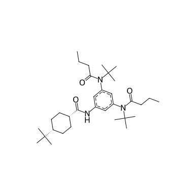 CCCC(=O)N(c1cc(NC(=O)[C@H]2CC[C@@H](C(C)(C)C)CC2)cc(N(C(=O)CCC)C(C)(C)C)c1)C(C)(C)C